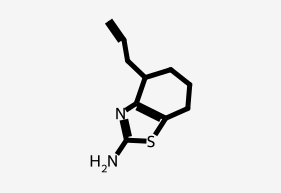 C=CCC1CCCc2sc(N)nc21